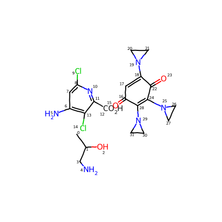 CC(O)CN.Nc1cc(Cl)nc(C(=O)O)c1Cl.O=C1C=C(N2CC2)C(=O)C(N2CC2)=C1N1CC1